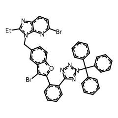 CCc1nc2ccc(Br)nc2n1Cc1ccc2oc(-c3ccccc3-c3nnn(C(c4ccccc4)(c4ccccc4)c4ccccc4)n3)c(Br)c2c1